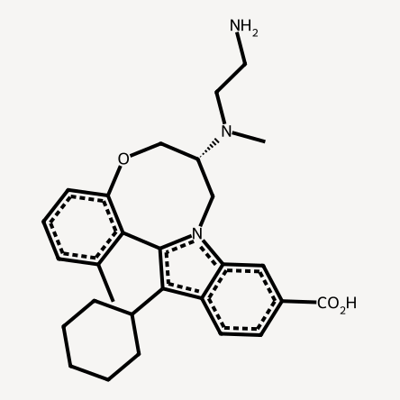 Cc1cccc2c1-c1c(C3CCCCC3)c3ccc(C(=O)O)cc3n1C[C@@H](N(C)CCN)CO2